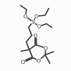 CCO[Si](CCCC1(C)C(=O)OC(C)(C)OC1=O)(OCC)OCC